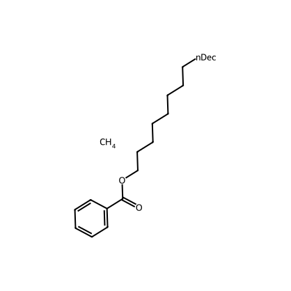 C.CCCCCCCCCCCCCCCCCCOC(=O)c1ccccc1